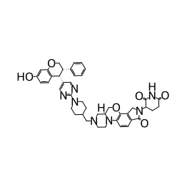 O=C1CCC(N2Cc3c(ccc4c3OC[C@@H]3CN(CC5CCN(c6ncc([C@@H]7c8ccc(O)cc8OC[C@@H]7c7ccccc7)cn6)CC5)CCN43)C2=O)C(=O)N1